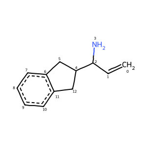 C=CC(N)C1Cc2ccccc2C1